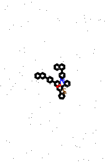 c1cc(-c2ccc(-c3ccc4ccccc4c3)cc2)cc(N(c2ccc(-c3cccc4ccccc34)cc2)c2ccccc2-c2cccc3c2sc2ccccc23)c1